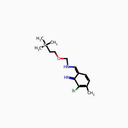 CC1=C(Br)C(=N)/C(=C\NCOCC[Si](C)(C)C)C=C1